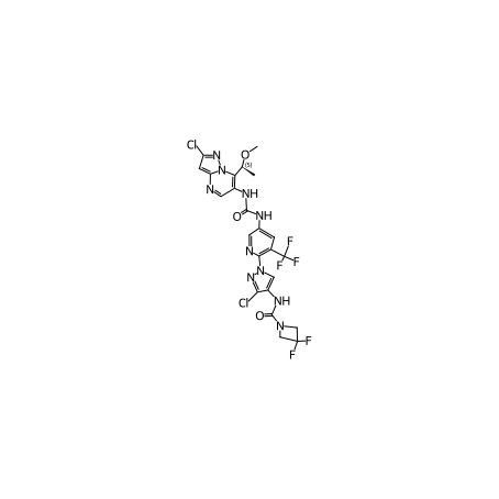 CO[C@@H](C)c1c(NC(=O)Nc2cnc(-n3cc(NC(=O)N4CC(F)(F)C4)c(Cl)n3)c(C(F)(F)F)c2)cnc2cc(Cl)nn12